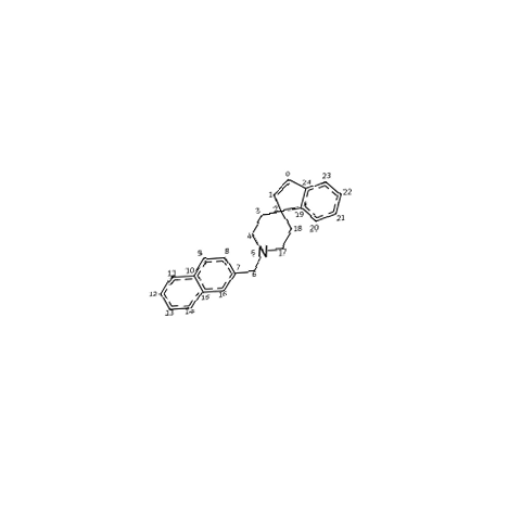 C1=CC2(CCN(Cc3ccc4ccccc4c3)CC2)c2ccccc21